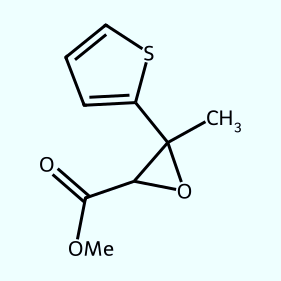 COC(=O)C1OC1(C)c1cccs1